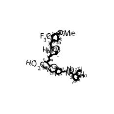 C=C/C(=C\C=C(/C)C(=O)N(CC(=O)O)Cc1ccc(-c2noc(-c3cccc4c3ccn4C)n2)cc1)NC(=O)Cc1ccc(OC)cc1C(F)(F)F